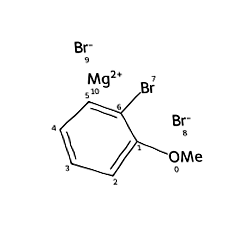 COc1ccccc1Br.[Br-].[Br-].[Mg+2]